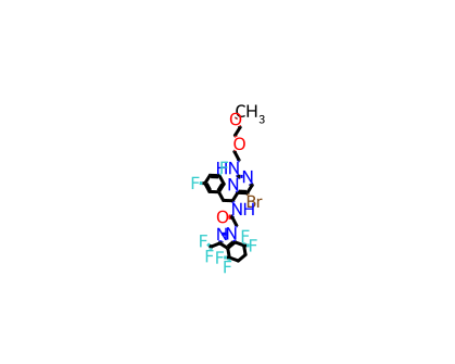 COCCOCCNc1ncc(Br)c(C(Cc2cc(F)cc(F)c2)NC(=O)Cn2nc(C(F)F)c3c2C(F)(F)CCC3(F)F)n1